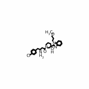 COCCCn1c([C@@]2(O)CCCN(C(=O)C[C@H](N)Cc3ccc(Cl)cc3)C2)nc2ccccc21